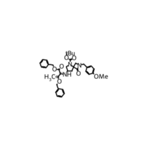 COc1ccc(CN2CC3(CC(N[C@H](C(=O)OCc4ccccc4)[C@@H](C)OCc4ccccc4)CN3C(=O)OC(C)(C)C)C2=O)cc1